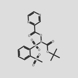 CC(C)(C)OC(=O)N(OC(=O)c1cnccn1)S(=O)(=O)c1ccccc1S(C)(=O)=O